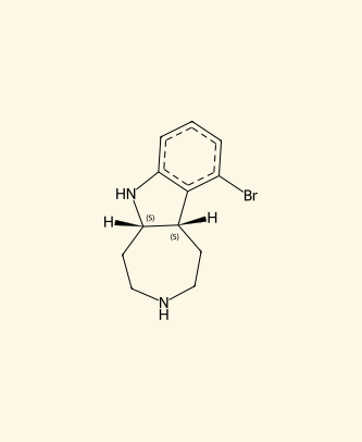 Brc1cccc2c1[C@@H]1CCNCC[C@@H]1N2